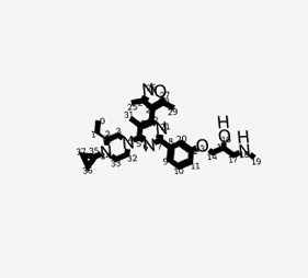 CC[C@H]1CN(c2nc(-c3cccc(OCC(O)CNC)c3)nc(-c3c(C)noc3C)c2C)CCN1C1CC1